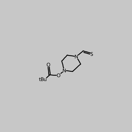 CC(C)(C)C(=O)ON1CCN(C=S)CC1